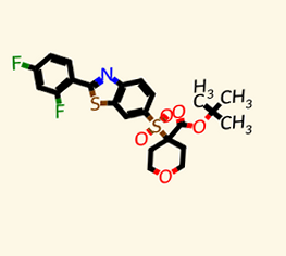 CC(C)(C)OC(=O)C1(S(=O)(=O)c2ccc3nc(-c4ccc(F)cc4F)sc3c2)CCOCC1